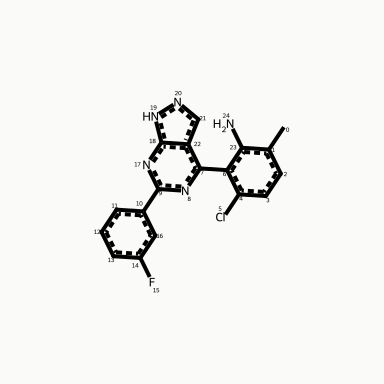 Cc1ccc(Cl)c(-c2nc(-c3cccc(F)c3)nc3[nH]ncc23)c1N